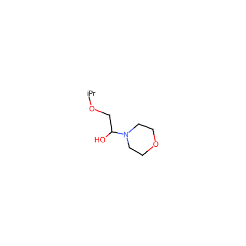 CC(C)OCC(O)N1CCOCC1